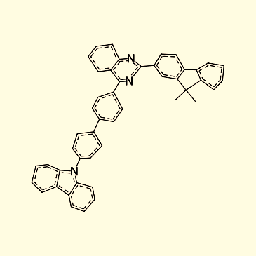 CC1(C)c2ccccc2-c2ccc(-c3nc(-c4ccc(-c5ccc(-n6c7ccccc7c7ccccc76)cc5)cc4)c4ccccc4n3)cc21